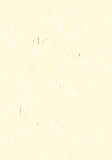 [O-][Si]([O-])([O-])[O-].[Yb+2].[Yb+2]